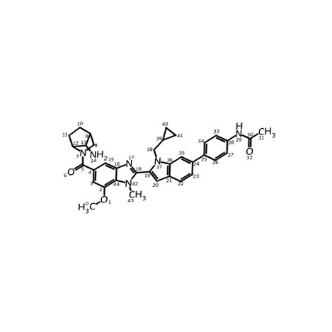 COc1cc(C(=O)N2CC3CCC2C3N)cc2nc(-c3cc4ccc(-c5ccc(NC(C)=O)cc5)cc4n3CC3CC3)n(C)c12